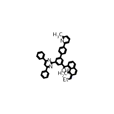 C=C(c1cc(-c2ccc(-c3cccc(C)n3)cc2)cc(-c2nc(-c3ccccc3)cc(-c3ccccc3)n2)c1)c1cccc2cc/c(=C/CC)c(=C)c12